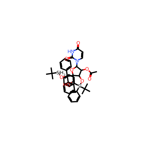 CC(=O)OC1C(n2ccc(=O)[nH]c2=O)OC(CO)(C(O[SiH2]C(C)(C)C)(c2ccccc2)c2ccccc2)C1O[Si](c1ccccc1)(c1ccccc1)C(C)(C)C